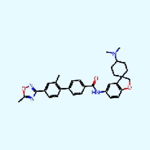 Cc1nc(-c2ccc(-c3ccc(C(=O)Nc4ccc5c(c4)C4(CCC(N(C)C)CC4)CO5)cc3)c(C)c2)no1